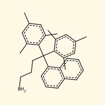 BCCCC(c1c(C)cc(C)cc1C)(c1c(C)cc(C)cc1C)c1cccc2ccccc12